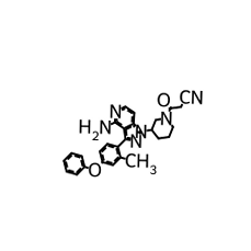 Cc1cc(Oc2ccccc2)ccc1-c1nn(C2CCCN(C(=O)CC#N)C2)c2ccnc(N)c12